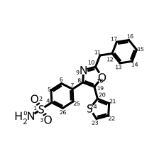 NS(=O)(=O)c1ccc(-c2nc(Cc3ccccc3)oc2-c2cccs2)cc1